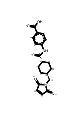 O=C(O)c1ccc(NC(=O)[C@H]2CC[C@H](CN3C(=O)C=CC3=O)CC2)cc1